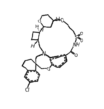 O=C1NS(=O)(=O)CCO[C@H]2CCO[C@@H](C2)[C@@H]2CC[C@H]2CN2C[C@@]3(CCCc4cc(Cl)ccc43)COc3ccc1cc32